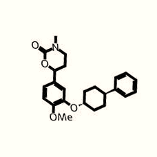 COc1ccc(C2CCN(C)C(=O)O2)cc1O[C@H]1CC[C@H](c2ccccc2)CC1